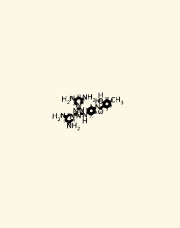 Cc1ccc(C(=O)Nc2ccc(Nc3nc(N4C[C@H](N)C[C@H](N)C4)nc(N4C[C@H](N)C[C@H](N)C4)n3)cc2)c(O)c1